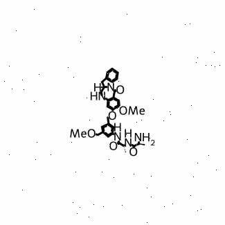 COCc1cc(COc2cc3c(cc2OC)C(=O)N2c4ccccc4C[C@H]2CN3)cc(NC(=O)[C@@H](C)NC(=O)[C@H](C)N)c1